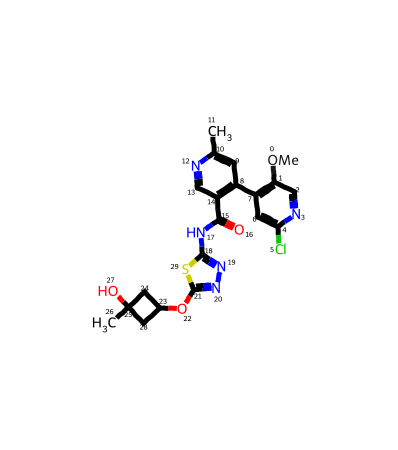 COc1cnc(Cl)cc1-c1cc(C)ncc1C(=O)Nc1nnc(OC2CC(C)(O)C2)s1